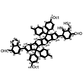 CCCCCCCCc1ccc(C2(c3ccc(C)cc3)c3cc(C4=CC=C(C=O)/C(=N/S)C4=N)sc3-c3sc4c5c(sc4c32)-c2sc(-c3ccc(C=O)c4nsnc34)cc2C5(c2ccc(C)cc2)c2ccc(CCCCCCCC)cc2)cc1